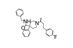 C=C(CCc1ccc(F)cc1)N1CCC(C(=O)NCc2ccccc2)(c2ccccc2)CC1